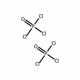 O=P(Cl)(Cl)Cl.O=P(Cl)(Cl)Cl